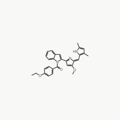 CCOc1ccc(C(=O)n2c(C3=N/C(=C\c4[nH]c(C)cc4C)C(OC)=C3)cc3ccccc32)cc1